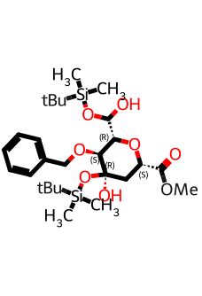 COC(=O)[C@@H]1C[C@@](O)(O[Si](C)(C)C(C)(C)C)[C@@H](OCc2ccccc2)[C@H](C(O)O[Si](C)(C)C(C)(C)C)O1